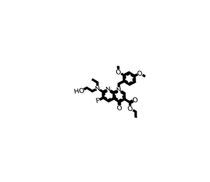 CCOC(=O)c1cn(Cc2ccc(OC)cc2OC)c2nc(N(CC)CCO)c(F)cc2c1=O